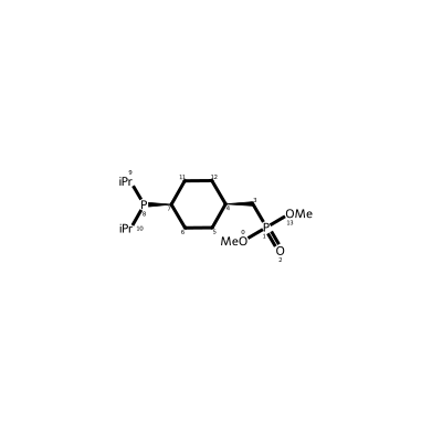 COP(=O)(C[C@H]1CC[C@@H](P(C(C)C)C(C)C)CC1)OC